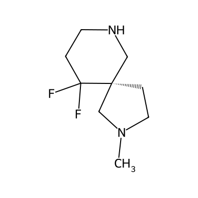 CN1CC[C@]2(CNCCC2(F)F)C1